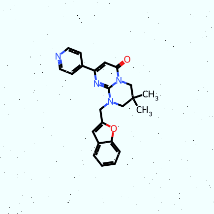 CC1(C)CN(Cc2cc3ccccc3o2)c2nc(-c3ccncc3)cc(=O)n2C1